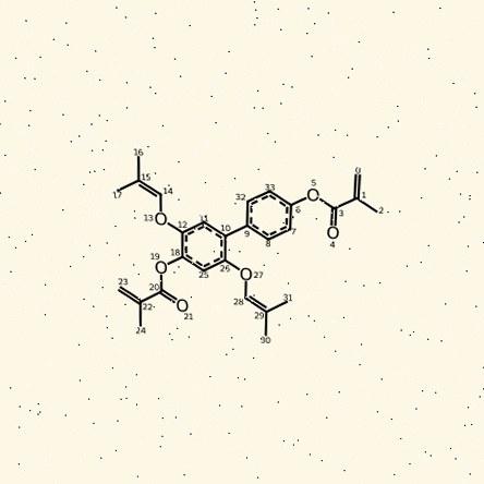 C=C(C)C(=O)Oc1ccc(-c2cc(OC=C(C)C)c(OC(=O)C(=C)C)cc2OC=C(C)C)cc1